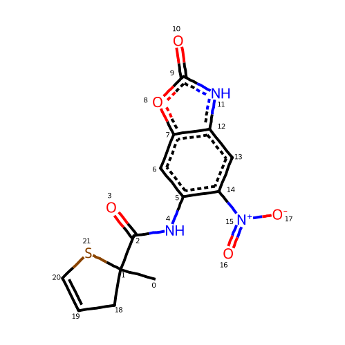 CC1(C(=O)Nc2cc3oc(=O)[nH]c3cc2[N+](=O)[O-])CC=CS1